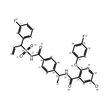 C=CC(c1cccc(F)c1)S(=O)(=O)NC(=O)c1ccc([C@H](C)NC(=O)c2cc(Cl)cnc2Oc2ccc(F)cc2)cc1